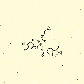 CN(C(=O)OCCC1CC1)[C@@H]1CN(C(=O)C2CCN(C(=O)C3(C)CC3)CC2)C[C@H]1c1ccc(Cl)c(Cl)c1